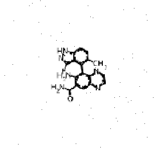 Cc1ccc2[nH]nc(F)c2c1-c1c(N)c(C(N)=O)cc2nccnc12